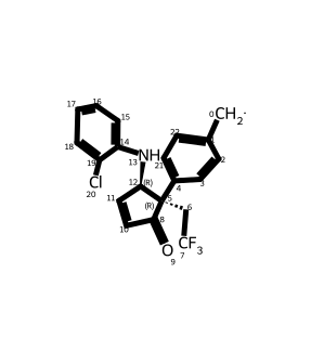 [CH2]c1ccc([C@@]2(CC(F)(F)F)C(=O)C=C[C@H]2Nc2ccccc2Cl)cc1